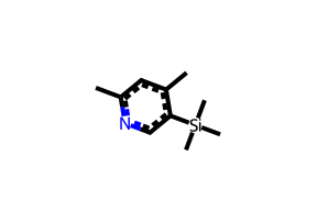 Cc1cc(C)c([Si](C)(C)C)cn1